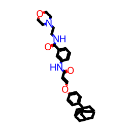 O=C(C=COc1ccc(C23CC4CC(CC(C4)C2)C3)cc1)Nc1cccc(C(=O)NCCN2CCOCC2)c1